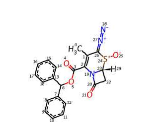 CC1=C(C(=O)OC(c2ccccc2)c2ccccc2)N2C(=O)C[C@H]2[S+]([O-])C1=[N+]=[N-]